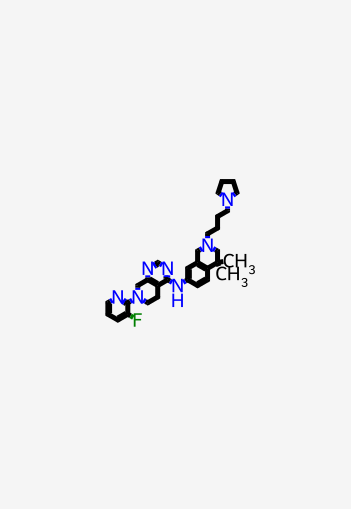 CC1(C)CN(CCCCN2CCCC2)Cc2cc(Nc3ncnc4c3CCN(c3ncccc3F)C4)ccc21